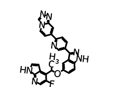 CC(Oc1ccc2[nH]nc(-c3ccc(-c4ccn5cnnc5c4)nc3)c2c1)c1c(F)cnc2[nH]ccc12